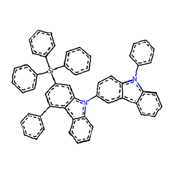 c1ccc(-c2cc([Si](c3ccccc3)(c3ccccc3)c3ccccc3)cc3c2c2ccccc2n3-c2ccc3c(c2)c2ccccc2n3-c2ccccc2)cc1